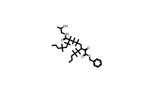 CCCC(C)(C)CC(C)(C)C(C)(C(=O)NCC(C)O)C(C)(C)C(C)(C)CC(C(=O)C(=O)OCc1ccccc1)C(C)(C)C(C)(C)CCC